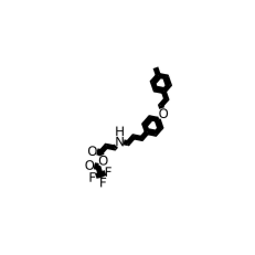 Cc1ccc(CCOc2ccc(CCCNCCC(=O)OC(=O)C(F)(F)F)cc2)cc1